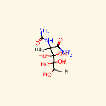 CCCCC(NC(N)=O)(C(N)=O)C(O)(O)C(O)(O)C(O)CCC